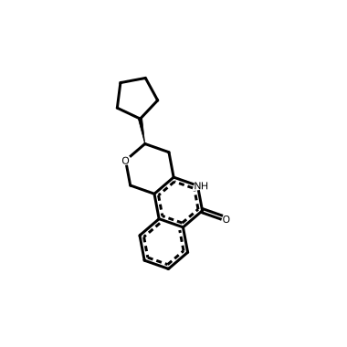 O=c1[nH]c2c(c3ccccc13)CO[C@@H](C1CCCC1)C2